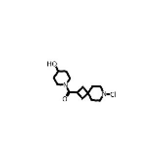 O=C(C1CC2(CCN(Cl)CC2)C1)N1CCC(O)CC1